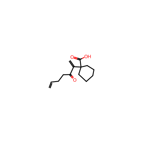 C=CCCC(=O)C(=C)C1(C(=O)O)CCCCC1